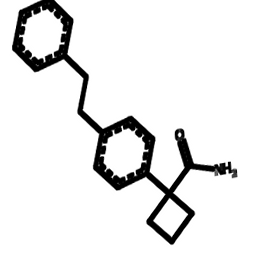 NC(=O)C1(c2ccc(CCc3ccccc3)cc2)CCC1